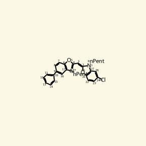 CCCCCN1/C(=C/c2oc3ccc(-c4ccccc4)cc3[n+]2CCCCC)Oc2ccc(Cl)cc21